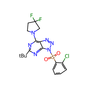 CC(C)(C)c1nc(N2CCC(F)(F)C2)c2nnn(S(=O)(=O)c3ccccc3Cl)c2n1